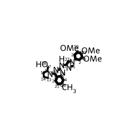 COc1cc(-n2cnc(Nc3nc(N4CCCC4CO)c4ccc(C)cc4n3)c2)cc(OC)c1OC